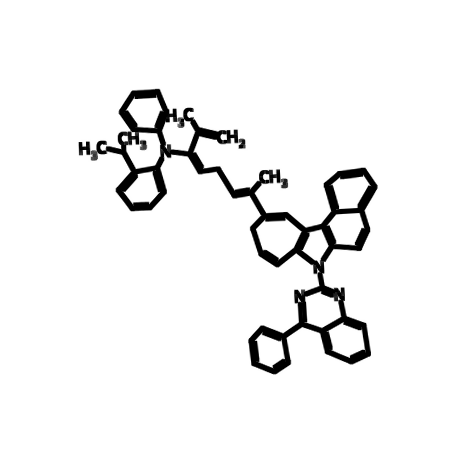 C=C(C)/C(=C\C/C=C(\C)C1=Cc2c(n(-c3nc(-c4ccccc4)c4ccccc4n3)c3ccc4ccccc4c23)C=CC1)N(c1ccccc1)c1ccccc1C(C)C